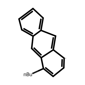 CCCCc1cc[c]c2cc3ccccc3cc12